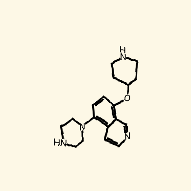 c1cc2c(N3CCNCC3)ccc(OC3CCNCC3)c2cn1